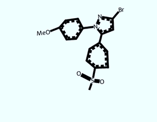 COc1ccc(-n2nc(Br)cc2-c2ccc(S(C)(=O)=O)cc2)cc1